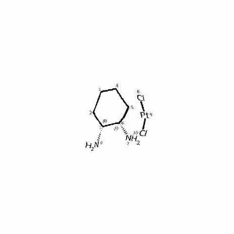 N[C@@H]1CCCC[C@@H]1N.[Cl][Pt][Cl]